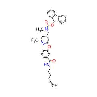 C#CCCCCNC(=O)c1cccc(Oc2cc(CN(C)C(=O)OC3c4ccccc4-c4ccccc43)cc(C(F)(F)F)n2)c1